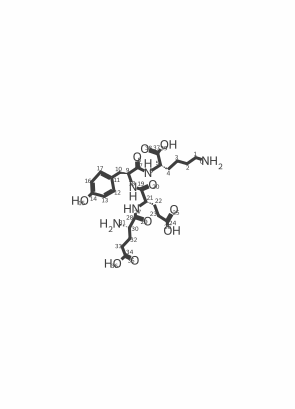 NCCCC[C@H](NC(=O)[C@H](Cc1ccc(O)cc1)NC(=O)[C@H](CCC(=O)O)NC(=O)[C@@H](N)CCC(=O)O)C(=O)O